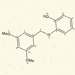 COc1cc(COc2ccccc2O)cc(OC)c1